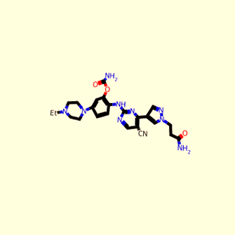 CCN1CCN(c2ccc(Nc3ncc(C#N)c(-c4cnn(CCC(N)=O)c4)n3)c(OC(N)=O)c2)CC1